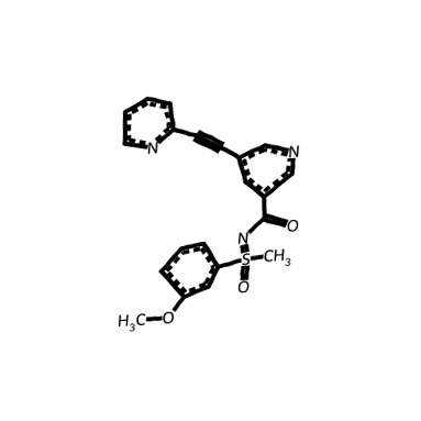 COc1cccc(S(C)(=O)=NC(=O)c2cncc(C#Cc3ccccn3)c2)c1